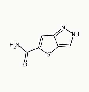 NC(=O)c1cc2n[nH]cc2s1